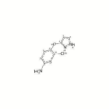 Nc1ccc(Oc2cc[nH]n2)c(Cl)c1